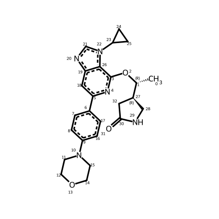 C[C@@H](Oc1nc(-c2ccc(N3CCOCC3)cc2)cc2ncn(C3CC3)c12)[C@H]1CNC(=O)C1